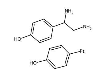 NCC(N)c1ccc(O)cc1.Oc1cc[c]([Pt])cc1